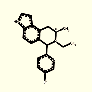 C[C@@H]1Cc2c(ccc3[nH]ccc23)C(c2ccc(Br)cn2)N1CC(F)(F)F